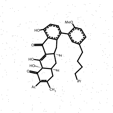 COc1ccc(CCCCC(C)C)cc1-c1ccc(O)c2c1C[C@H]1C[C@H]3CC(C)=C(C(C)=O)C(=O)[C@@]3(O)C(O)=C1C2=O